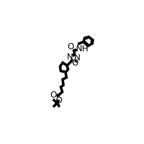 CC(C)(C)OC(=O)CCCCCC1CCCC(c2nc(C(=O)NCc3ccccc3)no2)C1